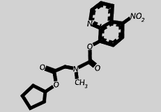 CN(CC(=O)OC1CCCC1)C(=O)Oc1ccc([N+](=O)[O-])c2cccnc12